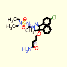 CCN(CC)S(=O)(=O)/N=C(\C)N1CC(OC/C=C/C(N)=O)(c2ccccc2)C(c2ccc(Cl)cc2)=N1